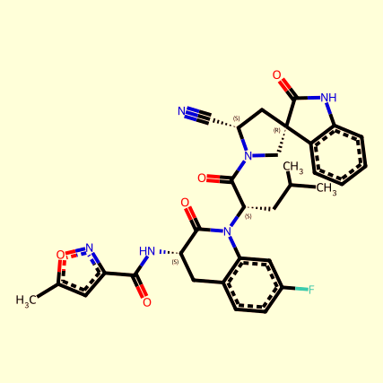 Cc1cc(C(=O)N[C@H]2Cc3ccc(F)cc3N([C@@H](CC(C)C)C(=O)N3C[C@]4(C[C@H]3C#N)C(=O)Nc3ccccc34)C2=O)no1